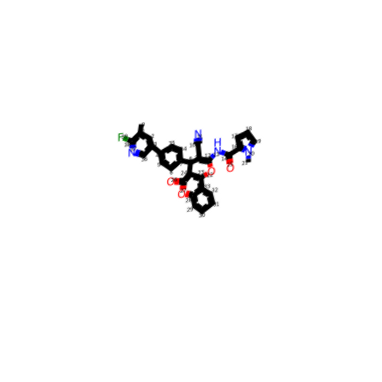 Cc1cc(-c2ccc(C3C(C#N)=C(NC(=O)c4cccn4C)Oc4c3c(=O)oc3ccccc43)cc2)cnc1F